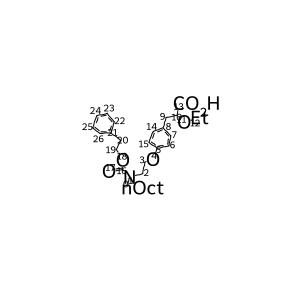 CCCCCCCCN(CCOc1ccc(CC(OCC)C(=O)O)cc1)C(=O)OCCc1ccccc1